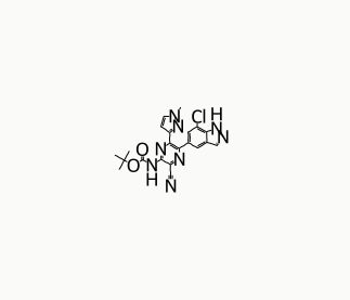 Cn1ccc(-c2nc(NC(=O)OC(C)(C)C)c(C#N)nc2-c2cc(Cl)c3[nH]ncc3c2)n1